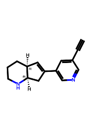 C#Cc1cncc(C2=C[C@@H]3CCCN[C@@H]3C2)c1